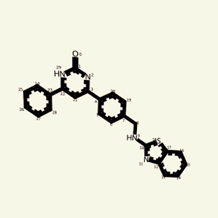 O=c1nc(-c2ccc(CNc3nc4ccccc4s3)cc2)cc(-c2ccccc2)[nH]1